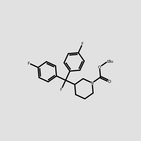 CC(C)(C)OC(=O)N1CCCC(C(F)(c2ccc(F)cc2)c2ccc(F)cc2)C1